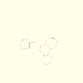 CCCCc1cnc2c3c(c4nccnc4c2n1)Nc1cccc(CCCS(=O)(=O)O)c1O3